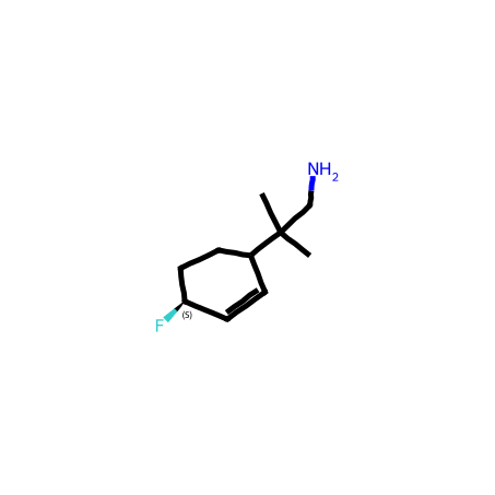 CC(C)(CN)C1C=C[C@@H](F)CC1